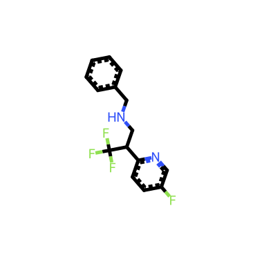 Fc1ccc(C(CNCc2ccccc2)C(F)(F)F)nc1